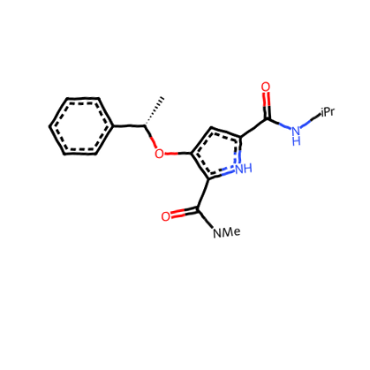 CNC(=O)c1[nH]c(C(=O)NC(C)C)cc1O[C@@H](C)c1ccccc1